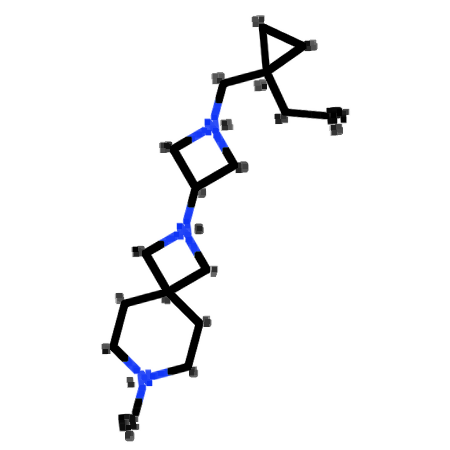 CCN1CCC2(CC1)CN(C1CN(CC3(CC(C)C)CC3)C1)C2